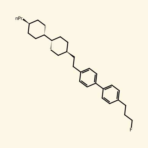 CCC[C@H]1CC[C@H]([C@H]2CC[C@H](CCc3ccc(-c4ccc(CCCF)cc4)cc3)CC2)CC1